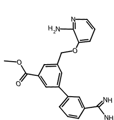 COC(=O)c1cc(COc2cccnc2N)cc(-c2cccc(C(=N)N)c2)c1